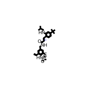 C=Cc1cc(CNC(=O)/C=C/c2ccc(C(C)(C)C)cc2NCC(C)C)cc(F)c1NS(C)(=O)=O